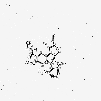 C#Cc1ncc2c(c1F)c1cc(C(=O)NCC(F)(F)F)c(OC)cc1c1c3c(N)ncnc3n(C)c21